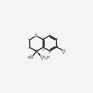 O=C(O)[C@@]1(O)CCOc2ccc(Cl)cc21